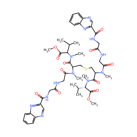 COC(=O)C(C(C)C)N(C)C(=O)C(CSCC(C(=O)N(C)[C@H](C(=O)OC)C(C)C)N(C)C(=O)CNC(=O)CNC(=O)c1cnc2ccccc2n1)N(C)C(=O)CNC(=O)CNC(=O)c1cnc2ccccc2n1